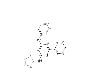 c1ccc(-c2nc(Nc3ccncc3)cc(NC3CCOC3)n2)cc1